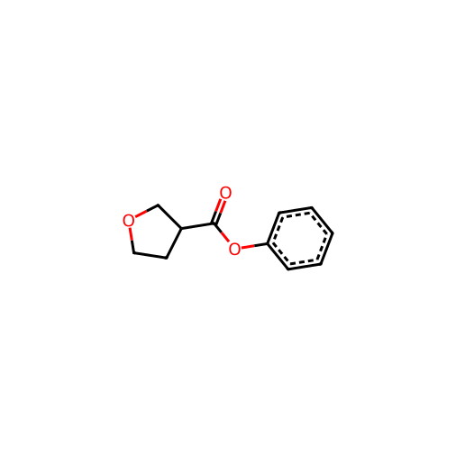 O=C(Oc1ccccc1)C1CCOC1